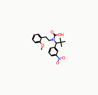 COc1ccccc1CCN(C(=O)O)C(c1cccc([N+](=O)[O-])c1)C(C)(C)C